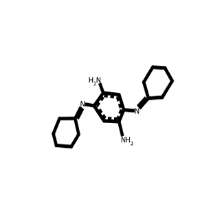 Nc1cc(N=C2CCCCC2)c(N)cc1N=C1CCCCC1